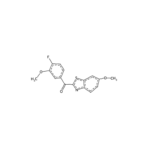 COc1ccc2nc(C(=O)c3ccc(F)c(OC)c3)sc2c1